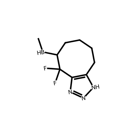 CBC1CCCCc2[nH]nnc2C1(F)F